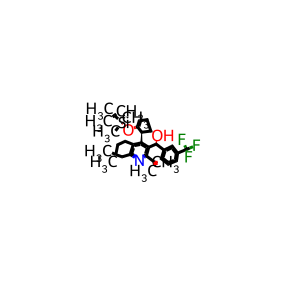 CC(C)c1nc2c(c([C@@H]3CCC=C3O[Si](C)(C)C(C)(C)C)c1[C@H](O)c1cccc(C(F)(F)F)c1)CCC(C)(C)C2